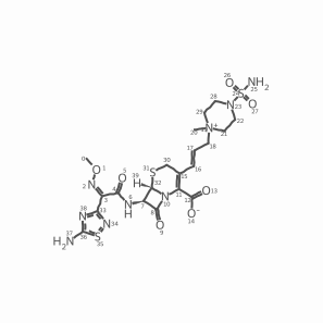 CO/N=C(\C(=O)N[C@@H]1C(=O)N2C(C(=O)[O-])=C(/C=C/C[N+]3(C)CCN(S(N)(=O)=O)CC3)CS[C@@H]12)c1nsc(N)n1